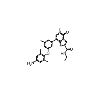 CCNC(=O)c1cc2c(=O)n(C)cc(-c3cc(C)cc(Oc4c(C)cc(N)cc4C)c3)c2s1